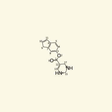 O=C(Oc1ccc2c(c1)CC=C2)C1=CNCNC1